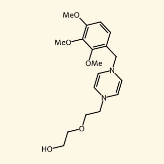 COc1ccc(CN2C=CN(CCOCCO)C=C2)c(OC)c1OC